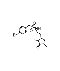 CC1CN(CCNS(=O)(=O)Cc2ccc(Br)cc2)C(C)C1=O